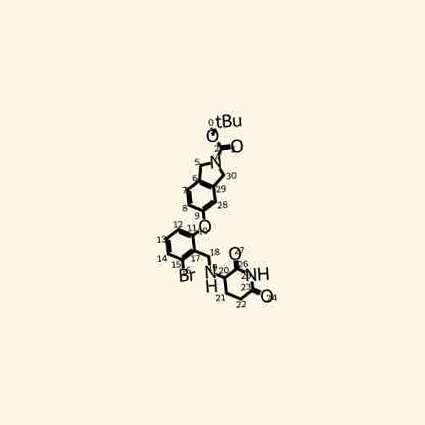 CC(C)(C)OC(=O)N1Cc2ccc(Oc3cccc(Br)c3CNC3CCC(=O)NC3=O)cc2C1